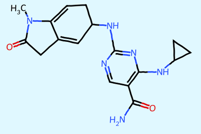 CN1C(=O)CC2=CC(Nc3ncc(C(N)=O)c(NC4CC4)n3)CC=C21